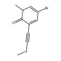 Cn1cc(Br)cc(C#CSI)c1=O